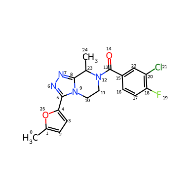 Cc1ccc(-c2nnc3n2CCN(C(=O)c2ccc(F)c(Cl)c2)C3C)o1